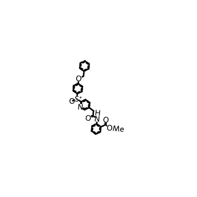 COC(=O)c1ccccc1NC(=O)Cc1ccc([S+]([O-])c2ccc(OCc3ccccc3)cc2)nc1